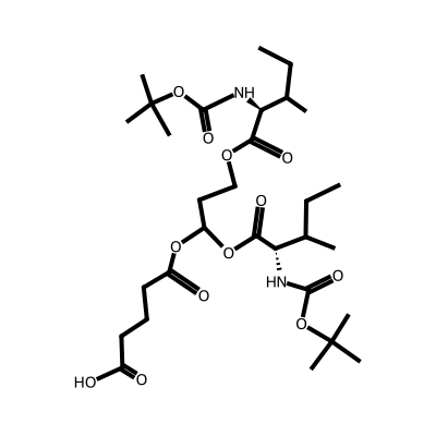 CCC(C)[C@H](NC(=O)OC(C)(C)C)C(=O)OCCC(OC(=O)CCCC(=O)O)OC(=O)[C@@H](NC(=O)OC(C)(C)C)C(C)CC